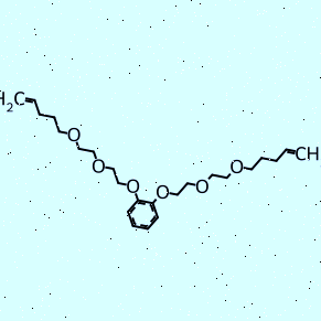 C=CCCCOCCOCCOc1ccccc1OCCOCCOCCCC=C